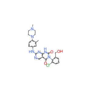 Cc1cc(Nc2ncc3c(=O)n(-c4c(Cl)cccc4CO)c(=O)[nH]c3n2)ccc1N1CCN(C)CC1